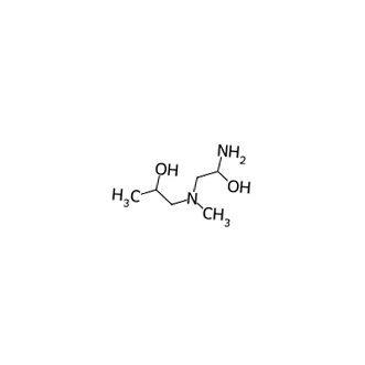 CC(O)CN(C)CC(N)O